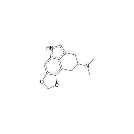 CN(C)C1Cc2c[nH]c3cc4c(c(c23)C1)OCO4